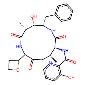 C[C@H]1CC(=O)C(C2CCO2)NC(=O)[C@H](C)[C@H](O)[C@H](Cc2ccccc2)NC(=O)[C@H]1NC(=O)c1ncccc1O